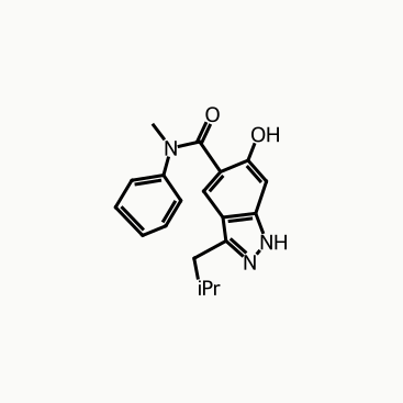 CC(C)Cc1n[nH]c2cc(O)c(C(=O)N(C)c3ccccc3)cc12